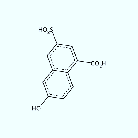 O=C(O)c1cc(S(=O)(=O)O)cc2cc(O)ccc12